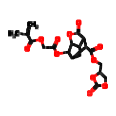 C=C(C)C(=O)OCC(=O)OC1C2CC3C1OC(=O)C3C2C(=O)OCC1COC(=O)O1